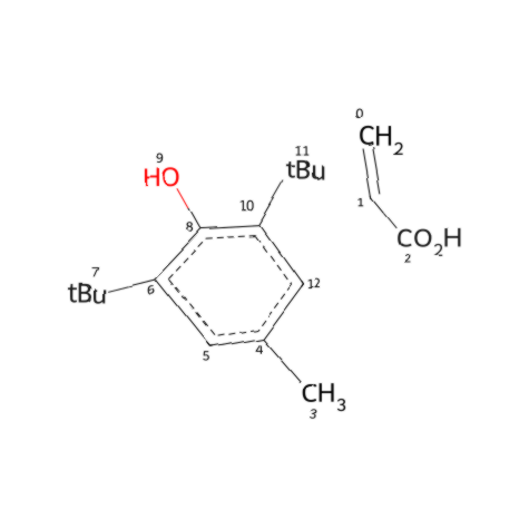 C=CC(=O)O.Cc1cc(C(C)(C)C)c(O)c(C(C)(C)C)c1